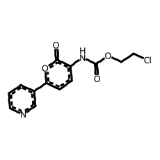 O=C(Nc1ccc(-c2cccnc2)oc1=O)OCCCl